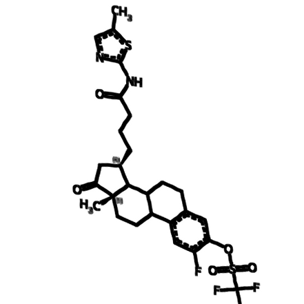 Cc1cnc(NC(=O)CCC[C@@H]2CC(=O)[C@@]3(C)CCC4c5cc(F)c(OS(=O)(=O)C(F)(F)F)cc5CCC4C23)s1